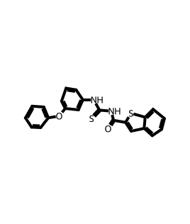 O=C(NC(=S)Nc1cccc(Oc2ccccc2)c1)c1cc2ccccc2s1